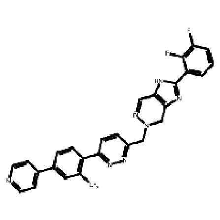 Fc1cccc(-c2nc3c([nH]2)C=NN(Cc2ccc(-c4ccc(-c5ccncc5)cc4C(F)(F)F)nn2)C3)c1F